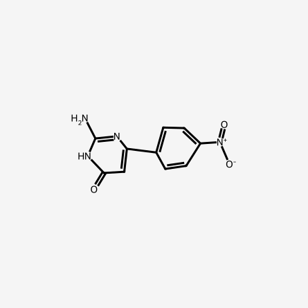 Nc1nc(-c2ccc([N+](=O)[O-])cc2)cc(=O)[nH]1